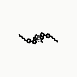 CCCCCCc1ccc(-c2cccc3c2C=C(CC)[CH]3[Zr]([Cl])([Cl])[CH]2C(CC)=Cc3c(-c4ccc(CCCCCC)cc4)cccc32)cc1